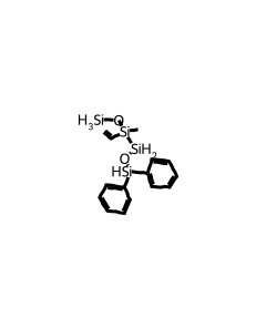 C=C[Si](C)(O[SiH3])[SiH2]O[SiH](c1ccccc1)c1ccccc1